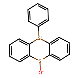 [O-][S+]1c2ccccc2[S+](c2ccccc2)c2ccccc21